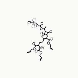 C=CCOC(=O)NC(CCC1=C(C(=O)OCC=C)N2C(=O)C(C(C)OC(=O)OCC(Cl)(Cl)Cl)[C@@H]2S1)C(=O)OCC=C